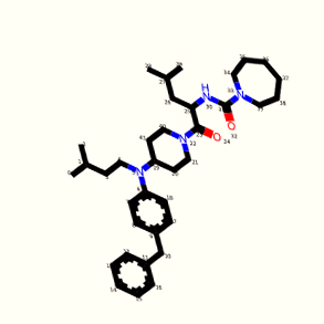 CC(C)CCN(c1ccc(Cc2ccccc2)cc1)C1CCN(C(=O)C(CC(C)C)NC(=O)N2CCCCCC2)CC1